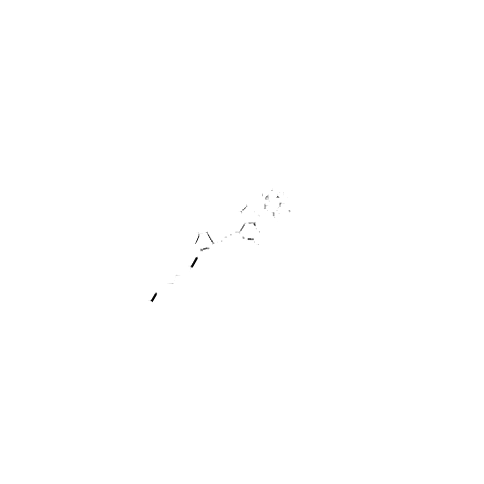 C#CCCCCC#Cc1cccc(CNc2nc(Cl)nc3c2ncn3[C@H]2[C@H](O)[C@H](O)[C@@H]3C[C@@H]32)c1